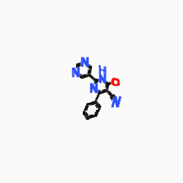 N#Cc1c(-c2ccccc2)nc(-c2cncnc2)[nH]c1=O